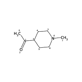 CC(=O)C1CCN(C)CC1